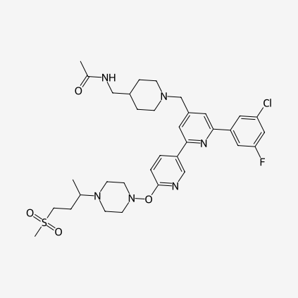 CC(=O)NCC1CCN(Cc2cc(-c3ccc(ON4CCN(C(C)CCS(C)(=O)=O)CC4)nc3)nc(-c3cc(F)cc(Cl)c3)c2)CC1